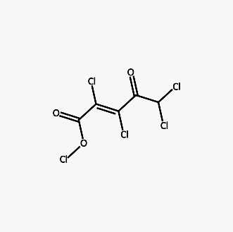 O=C(OCl)C(Cl)=C(Cl)C(=O)C(Cl)Cl